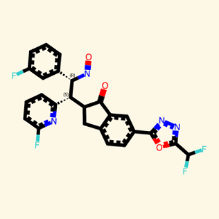 O=N[C@@H](c1cccc(F)c1)[C@@H](c1cccc(F)n1)C1Cc2ccc(-c3nnc(C(F)F)o3)cc2C1=O